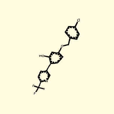 Oc1cc(OCc2ccc(Cl)cc2)ccc1-c1ccc(C(F)(F)F)nc1